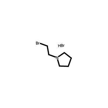 Br.BrCCN1CCCC1